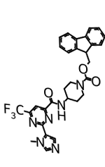 Cn1cncc1-c1nc(C(=O)NC2CCN(C(=O)OCC3c4ccccc4-c4ccccc43)CC2)cc(C(F)(F)F)n1